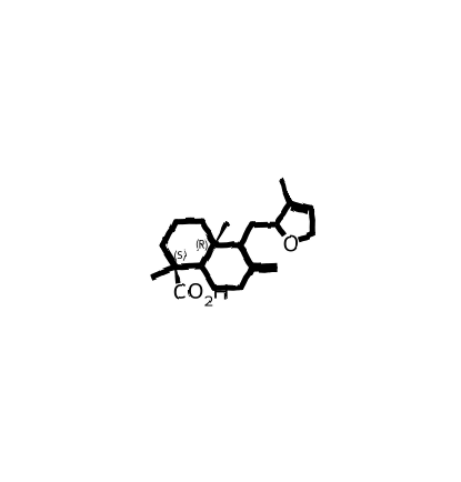 C=C1CCC2[C@](C)(CCC[C@]2(C)C(=O)O)C1CC1OCC=C1C